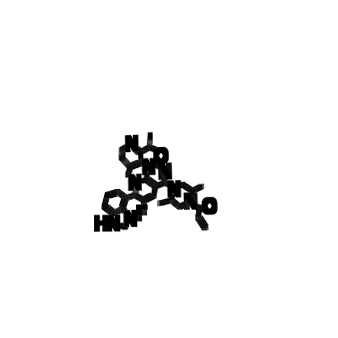 C=CC(=O)N1CC(C)N(c2nc(=O)n(-c3c(C)ccnc3C(C)C)c3nc(-c4cccc5[nH]cnc45)c(F)cc23)CC1C